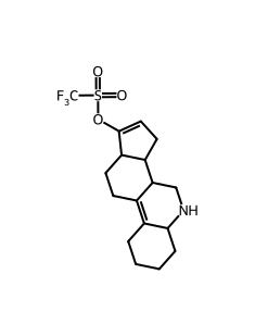 O=S(=O)(OC1=CCC2C1CCC1=C3CCCCC3NCC12)C(F)(F)F